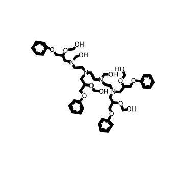 OCOC(COc1ccccc1)CN(CO)CCN(CCN(CO)CCN(CC(COc1ccccc1)OCO)CC(COc1ccccc1)OCO)CC(COc1ccccc1)OCO